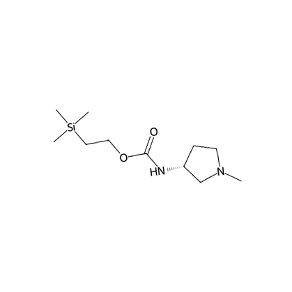 CN1CC[C@@H](NC(=O)OCC[Si](C)(C)C)C1